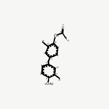 CC(=O)Oc1ccc(-c2ccc(OC(=O)I)c(C)c2)cc1C